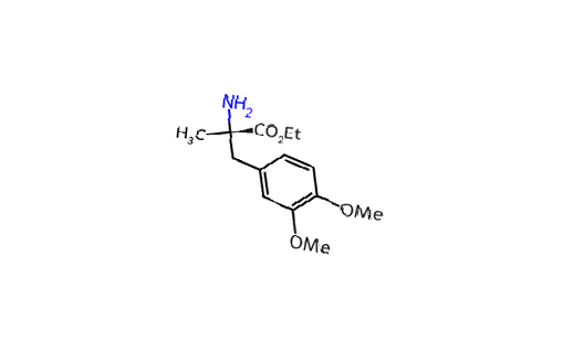 CCOC(=O)[C@@](C)(N)Cc1ccc(OC)c(OC)c1